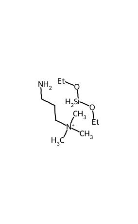 CCO[SiH2]OCC.C[N+](C)(C)CCCN